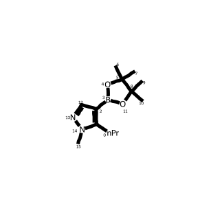 CCCc1c(B2OC(C)(C)C(C)(C)O2)cnn1C